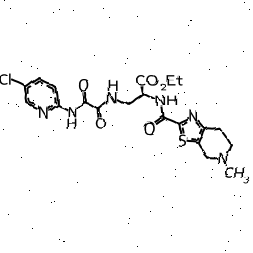 CCOC(=O)[C@H](CNC(=O)C(=O)Nc1ccc(Cl)cn1)NC(=O)c1nc2c(s1)CN(C)CC2